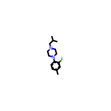 Cc1ccc(N2CCN(CC(C)C)CC2)c(F)c1